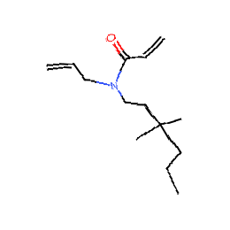 C=CCN(CCC(C)(C)CCC)C(=O)C=C